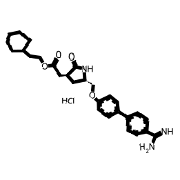 Cl.N=C(N)c1ccc(-c2ccc(OC[C@@H]3C[C@@H](CC(=O)OCCC4CCCCC4)C(=O)N3)cc2)cc1